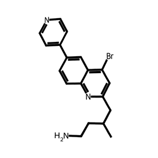 CC(CCN)Cc1cc(Br)c2cc(-c3ccncc3)ccc2n1